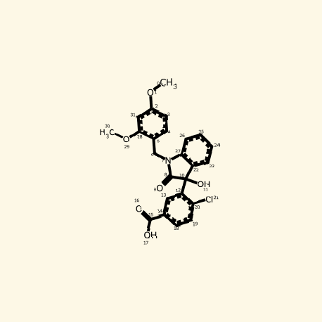 COc1ccc(CN2C(=O)C(O)(c3cc(C(=O)O)ccc3Cl)c3ccccc32)c(OC)c1